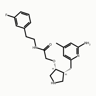 Cc1cc(N)nc(C[C@@H]2CNC[C@@H]2OCC(=O)NCCc2cccc(F)c2)c1